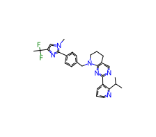 CC(C)c1ncccc1-c1ncc2c(n1)N(Cc1ccc(-c3nc(C(C)(F)F)cn3C)cc1)CCC2